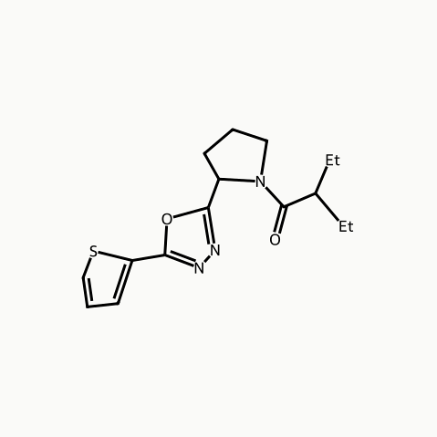 CCC(CC)C(=O)N1CCCC1c1nnc(-c2cccs2)o1